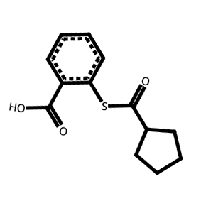 O=C(O)c1ccccc1SC(=O)C1CCCC1